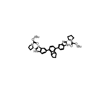 CC(C)(C)OC(=O)N1CCC[C@H]1c1nc2cc(-c3ccc(-c4ccc5[nH]c([C@@H]6CCCN6C(=O)OC(C)(C)C)nc5c4)c4c3C3CCC4C3)ccc2[nH]1